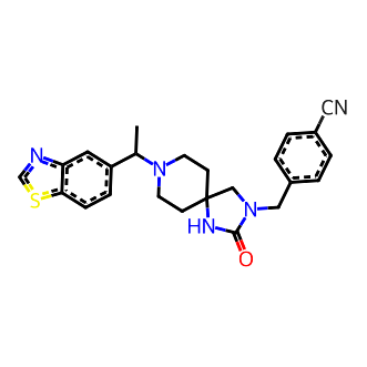 CC(c1ccc2scnc2c1)N1CCC2(CC1)CN(Cc1ccc(C#N)cc1)C(=O)N2